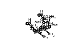 COc1ccc(CC(=O)[C@H](CCCCN)NC(=O)c2cc(CC(=O)[C@H](CCCCN)NC(=O)c3cc(CC(=O)[C@H](CCCCN)NC(=O)c4cc(CC(=O)[C@@H](N)Cc5c[nH]c6ccccc56)ccc4OC)ccc3OC)ccc2OC)cc1C(=O)N[C@@H](Cc1c[nH]c2ccccc12)C(=O)O